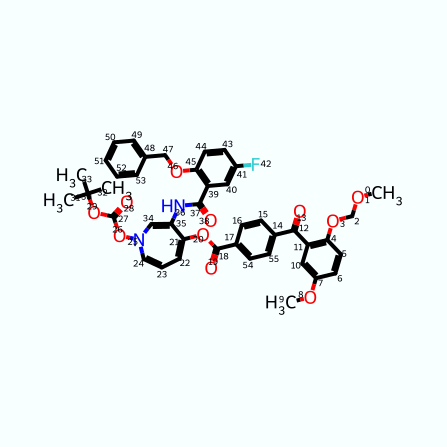 COCOc1ccc(OC)cc1C(=O)c1ccc(C(=O)OC2=CC=CN(OC(=O)OC(C)(C)C)C=C2NC(=O)c2cc(F)ccc2OCc2ccccc2)cc1